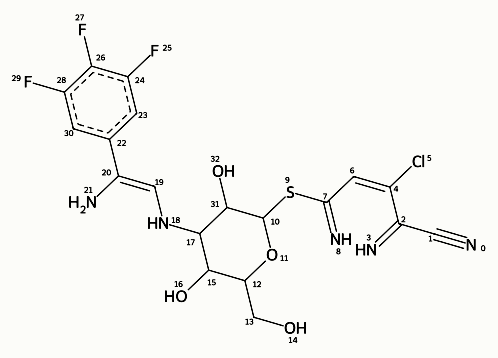 N#CC(=N)/C(Cl)=C\C(=N)SC1OC(CO)C(O)C(N/C=C(\N)c2cc(F)c(F)c(F)c2)C1O